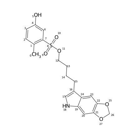 Cc1ccc(O)cc1S(=O)(=O)OCCCCc1c[nH]c2cc3c(cc12)OCO3